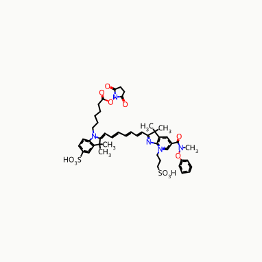 CN(Oc1ccccc1)C(=O)c1cc2c([n+](CCCS(=O)(=O)O)c1)N=C(/C=C/C=C/C=C/C=C1/N(CCCCCC(=O)ON3C(=O)CCC3=O)c3ccc(S(=O)(=O)O)cc3C1(C)C)C2(C)C